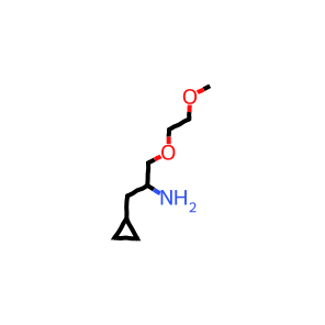 COCCOCC(N)CC1CC1